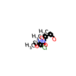 COc1ccc(-c2cc(C=O)ccc2C)cc1CNC(=O)c1ccc(OC(C)C)cc1Cl